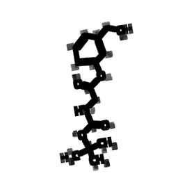 CC(C)(C)OC(=O)NCC(=O)Oc1cccc(CO)c1